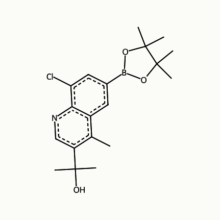 Cc1c(C(C)(C)O)cnc2c(Cl)cc(B3OC(C)(C)C(C)(C)O3)cc12